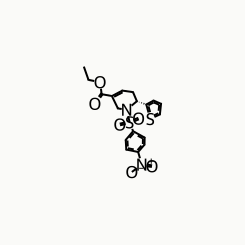 CCOC(=O)C1=CC[C@H](c2cccs2)N(S(=O)(=O)c2ccc([N+](=O)[O-])cc2)C1